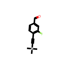 C[Si](C)(C)C#Cc1ccc(C=O)cc1F